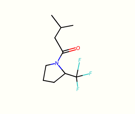 CC(C)CC(=O)N1CCCC1C(F)(F)F